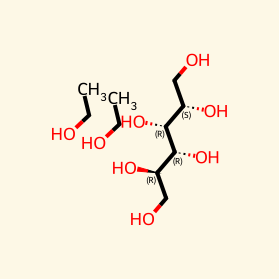 CCO.CCO.OC[C@@H](O)[C@@H](O)[C@H](O)[C@@H](O)CO